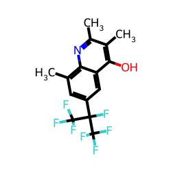 Cc1nc2c(C)cc(C(F)(C(F)(F)F)C(F)(F)F)cc2c(O)c1C